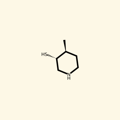 C[C@H]1CCNC[C@@H]1S